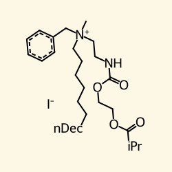 CCCCCCCCCCCCCCCC[N+](C)(CCNC(=O)OCCOC(=O)C(C)C)Cc1ccccc1.[I-]